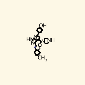 Cc1ccc(/C=C/c2n[nH]c3nc(-c4ccc(O)cc4)cc(C(=O)N4CCNCC4)c23)c(F)c1